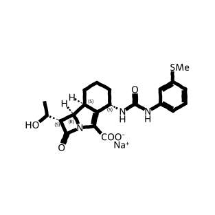 CSc1cccc(NC(=O)N[C@H]2CCC[C@H]3C2=C(C(=O)[O-])N2C(=O)[C@H](C(C)O)[C@@H]32)c1.[Na+]